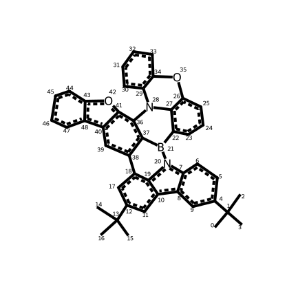 CC(C)(C)c1ccc2c(c1)c1cc(C(C)(C)C)cc3c1n2B1c2cccc4c2N(c2ccccc2O4)c2c1c-3cc1c2oc2ccccc21